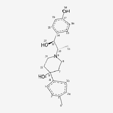 Cc1ccc(C2(O)CCN([C@@H](C)[C@@H](O)c3ccc(O)cc3)CC2)cc1